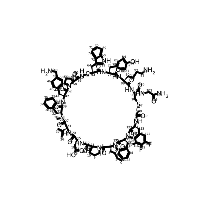 CCCC[C@H]1C(=O)N2CCC[C@@H]2C(=O)N[C@@H](CC(=O)O)C(=O)N[C@@H](C(C)C)C(=O)N(C)[C@@H](Cc2ccccc2)C(=O)N[C@@H](Cc2ccc(CN)cc2)C(=O)N2CCC[C@@H]2C(=O)NC[C@@H](Cc2c[nH]c3ccccc23)C(=O)N[C@@H](Cc2ccc(O)cc2)C(=O)N[C@@H](CCCCN)C(=O)N[C@H](C(=O)NCC(N)=O)CSCC(=O)N[C@@H](Cc2cc(F)c(F)c(F)c2)C(=O)N(C)[C@@H](Cc2ccccc2)C(=O)N1C